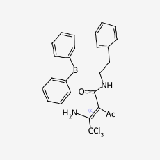 CC(=O)/C(C(=O)NCCc1ccccc1)=C(/N)C(Cl)(Cl)Cl.[B](c1ccccc1)c1ccccc1